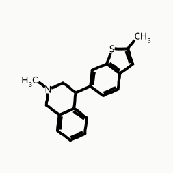 Cc1cc2ccc(C3CN(C)Cc4ccccc43)cc2s1